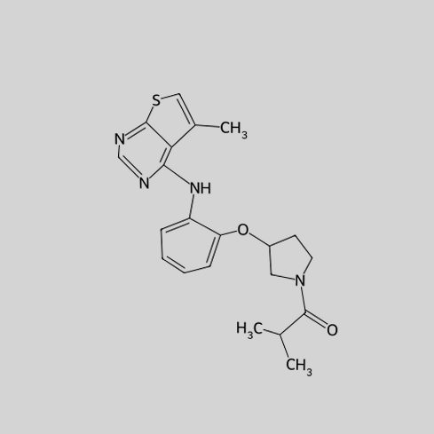 Cc1csc2ncnc(Nc3ccccc3OC3CCN(C(=O)C(C)C)C3)c12